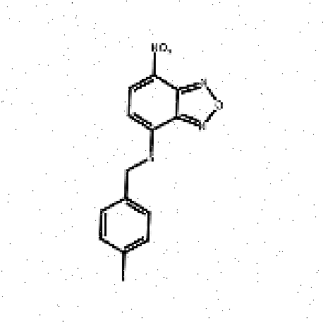 Cc1ccc(CSc2ccc([N+](=O)[O-])c3nonc23)cc1